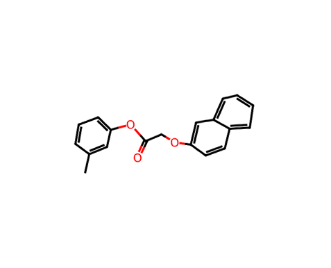 Cc1cccc(OC(=O)COc2ccc3ccccc3c2)c1